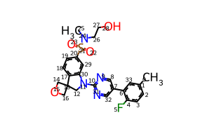 Cc1ccc(F)c(-c2cnc(N3CC4(COC4)c4ccc(S(=O)(=O)N(C)CCO)cc43)nc2)c1